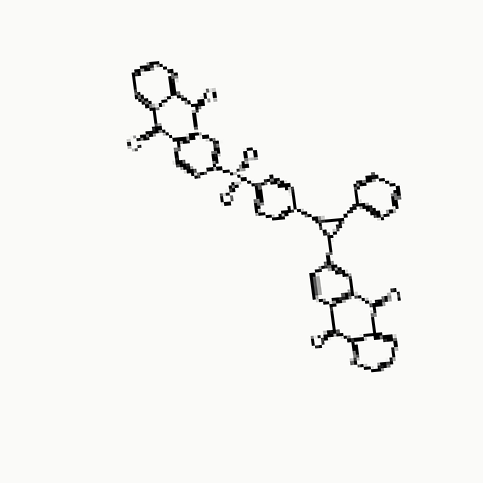 O=C1c2ccccc2C(=O)c2cc(C3C(c4ccccc4)C3c3ccc(S(=O)(=O)c4ccc5c(c4)C(=O)c4ccccc4C5=O)cc3)ccc21